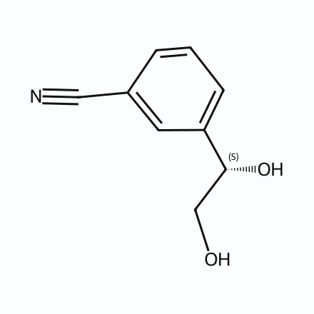 N#Cc1cccc([C@H](O)CO)c1